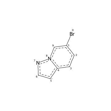 Brc1ccc2[c]cnn2c1